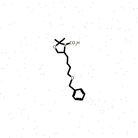 CC1(C)OCC(CCCCOCc2ccccc2)N1C(=O)O